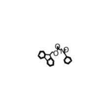 O=C(OCC1c2ccccc2-c2ccccc21)N1OC1c1ccccc1